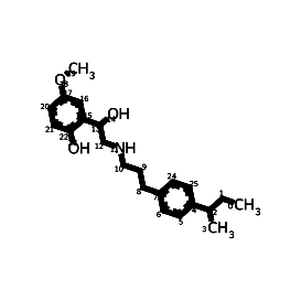 CCC(C)c1ccc(CCCNCC(O)c2cc(OC)ccc2O)cc1